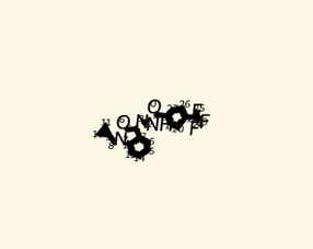 O=C(N/N=C1/C(=O)N(CC2CC2)c2ccccc21)c1ccc(C(F)(F)F)cc1